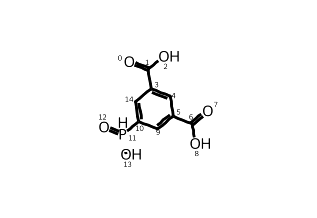 O=C(O)c1cc(C(=O)O)cc([PH](=O)O)c1